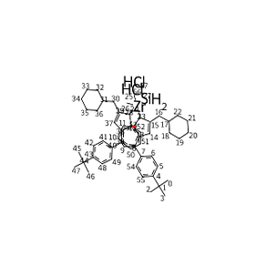 CC(C)(C)c1ccc(-c2cccc3c2C=C(CC2CCCCC2)[CH]3[Zr]([CH3])([CH3])(=[SiH2])[CH]2C(CC3CCCCC3)=Cc3c(-c4ccc(C(C)(C)C)cc4)cccc32)cc1.Cl.Cl